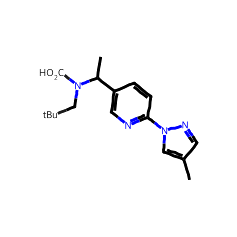 Cc1cnn(-c2ccc(C(C)N(CC(C)(C)C)C(=O)O)cn2)c1